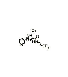 Cc1nn(-c2cccnc2)cc1C(=O)NCCC(F)(F)F